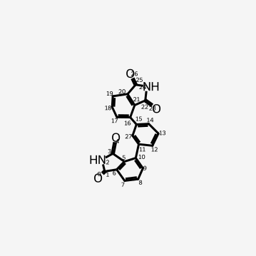 O=C1NC(=O)c2c1cccc2-c1cccc(-c2cccc3c2C(=O)NC3=O)c1